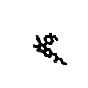 CCCC(=O)Oc1ccc2[nH]c(=O)c(C#N)c(N3CCC(C)(OC)CC3)c2n1